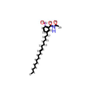 CCCCCCCCCC/C=C/CCCCCCc1ccc(I=O)c(C(=O)NC(C)=O)c1